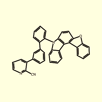 N#Cc1ncccc1-c1cccc(-c2ccccc2-n2c3ccccc3c3c4c(ccc32)oc2ccccc24)c1